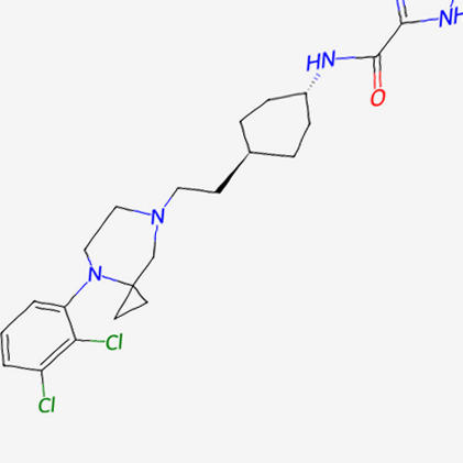 O=C(N[C@H]1CC[C@H](CCN2CCN(c3cccc(Cl)c3Cl)C3(CC3)C2)CC1)c1ncc[nH]1